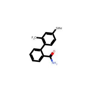 CSc1ccc(-c2ccccc2C(N)=O)c(C(F)(F)F)c1